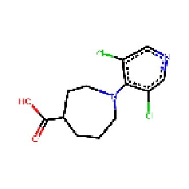 O=C(O)C1CCCN(c2c(Cl)cncc2Cl)CC1